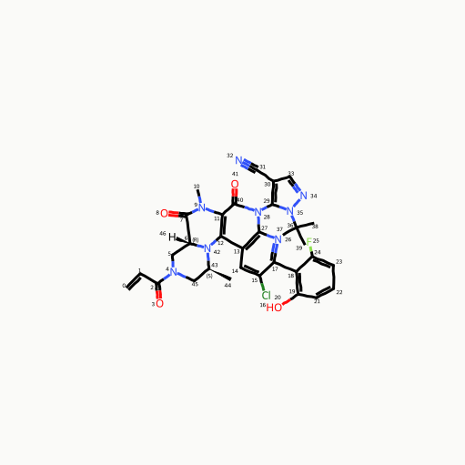 C=CC(=O)N1C[C@@H]2C(=O)N(C)c3c(c4cc(Cl)c(-c5c(O)cccc5F)nc4n(-c4c(C#N)cnn4C(C)(C)C)c3=O)N2[C@@H](C)C1